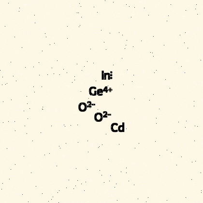 [Cd].[Ge+4].[In].[O-2].[O-2]